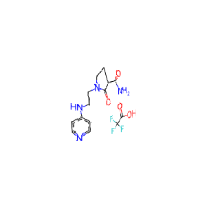 NC(=O)C1CCN(CCNc2ccncc2)C1=O.O=C(O)C(F)(F)F